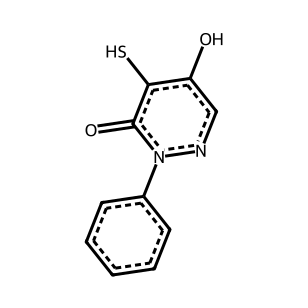 O=c1c(S)c(O)cnn1-c1ccccc1